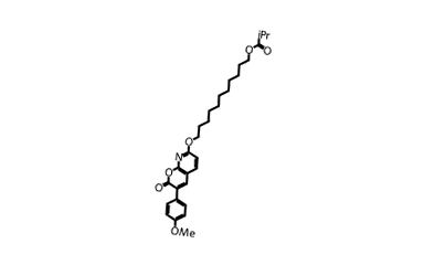 COc1ccc(-c2cc3ccc(OCCCCCCCCCCCOC(=O)C(C)C)nc3oc2=O)cc1